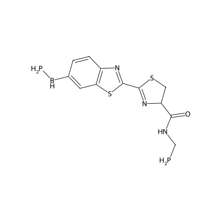 O=C(NCP)C1CSC(c2nc3ccc(BP)cc3s2)=N1